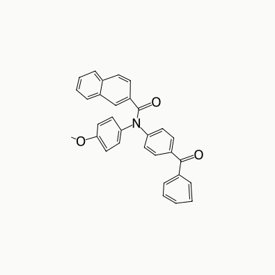 COc1ccc(N(C(=O)c2ccc3ccccc3c2)c2ccc(C(=O)c3ccccc3)cc2)cc1